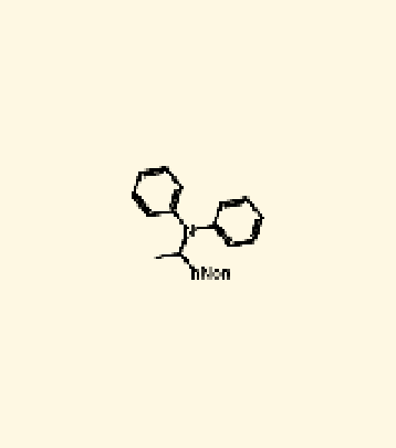 CCCCCCCCCC(C)N(c1ccccc1)c1ccccc1